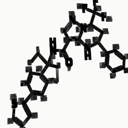 CCC(CC)(NC(=O)c1cnn2c1NC(c1ccccc1)CC2C(F)(F)F)c1ccc(-c2cccs2)cc1